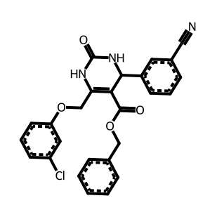 N#Cc1cccc(C2NC(=O)NC(COc3cccc(Cl)c3)=C2C(=O)OCc2ccccc2)c1